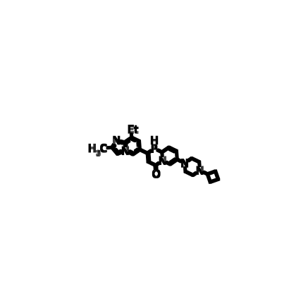 CCc1cc(C2=CC(=O)N3C=C(N4CCN(C5CCC5)CC4)C=CC3P2)cn2cc(C)nc12